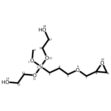 CO[Si](CCCOCC1CO1)(OCCO)OCCO